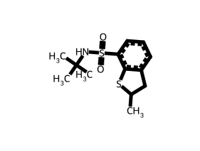 CC1Cc2cccc(S(=O)(=O)NC(C)(C)C)c2S1